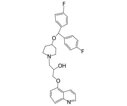 OC(COc1cccc2ncccc12)CN1CCC(OC(c2ccc(F)cc2)c2ccc(F)cc2)CC1